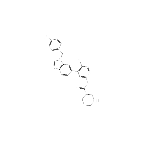 O=C(O)c1ccc(Cn2cnc3ccc(-c4cc(NC(=O)[C@@H]5CCCNC5)ncc4Cl)cc32)cc1